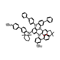 CC1(C)Cc2cc3c(cc2C1)N(c1ccc(C(C)(C)C)cc1-c1ccccc1)c1cc(N2c4ccc(-c5ccc(C(C)(C)C)cc5)cc4C4(C)CCCCC24C)cc2c1B3c1cc(-c3ccccc3)ccc1N2c1ccc(-c2ccccc2)cc1